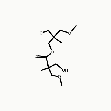 COCC(C)(CO)COC(=O)C(C)(CO)COC